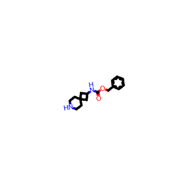 O=C(NC1CC2(CCNCC2)C1)OCc1ccccc1